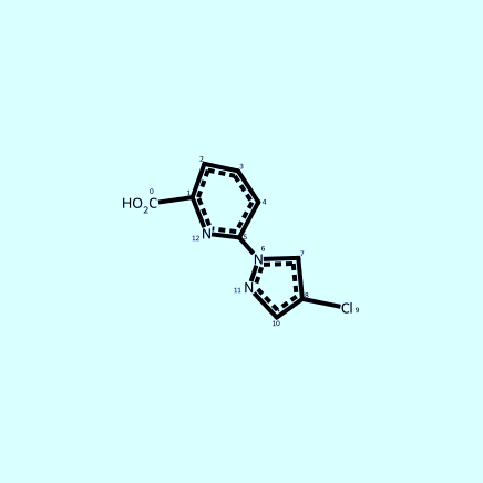 O=C(O)c1cccc(-n2cc(Cl)cn2)n1